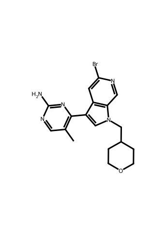 Cc1cnc(N)nc1-c1cn(CC2CCOCC2)c2cnc(Br)cc12